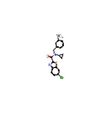 O=C(c1nc2ccc(Br)cc2s1)N(Cc1cccc([N+](=O)[O-])c1)C1CC1